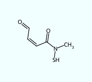 CN(S)C(=O)/C=C\C=O